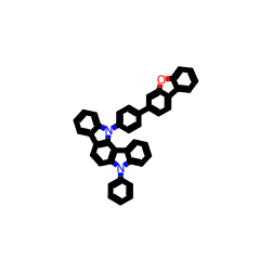 c1ccc(-n2c3ccccc3c3c2ccc2c4ccccc4n(-c4ccc(-c5ccc6c(c5)oc5ccccc56)cc4)c23)cc1